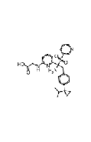 CC(C)C1(c2ccc(CC(N)(c3cccc(NCC(=O)O)n3)S(=O)(=O)c3cccnc3)cc2)CC1